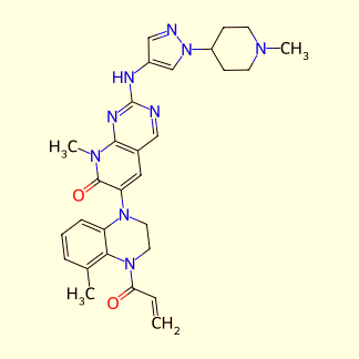 C=CC(=O)N1CCN(c2cc3cnc(Nc4cnn(C5CCN(C)CC5)c4)nc3n(C)c2=O)c2cccc(C)c21